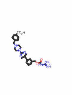 N=C(N)NC(=O)OCc1cccc(-c2cnc(N3CCN(Cc4ccc(C(=O)O)cc4)CC3)nc2)c1